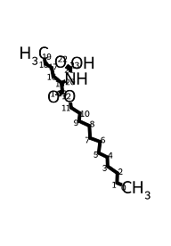 CCCCCCCCCCCCOC(=O)C(CCCC)NC(=O)O